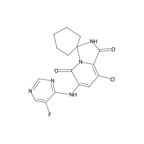 O=C1NC2(CCCCC2)n2c1c(Cl)cc(Nc1ncncc1F)c2=O